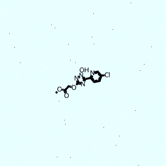 COC(=O)COc1nc(-c2ccc(Cl)cn2)n(O)n1